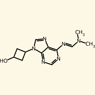 CN(C)/C=N/c1ncnc2c1ncn2C1CC(O)C1